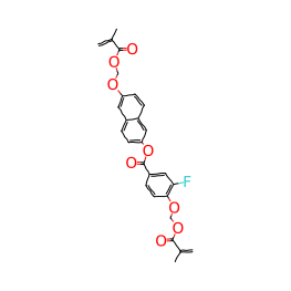 C=C(C)C(=O)OCOc1ccc2cc(OC(=O)c3ccc(OCOC(=O)C(=C)C)c(F)c3)ccc2c1